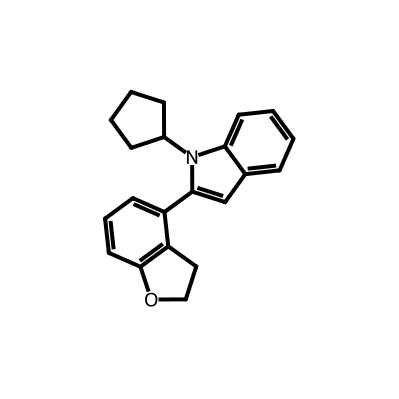 c1cc2c(c(-c3cc4ccccc4n3C3CCCC3)c1)CCO2